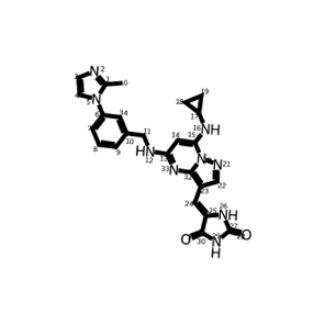 Cc1nccn1-c1cccc(CNc2cc(NC3CC3)n3ncc(/C=C4\NC(=O)NC4=O)c3n2)c1